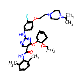 CCOc1ccccc1Oc1nc(Nc2ccc(OCCN3CCN(C(C)C)CC3)c(F)c2)ncc1C(=O)Nc1c(C)cccc1C